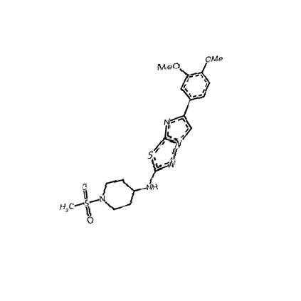 COc1ccc(-c2cn3nc(NC4CCN(S(C)(=O)=O)CC4)sc3n2)cc1OC